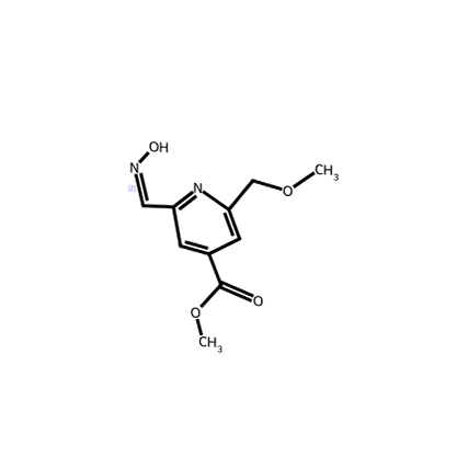 COCc1cc(C(=O)OC)cc(/C=N\O)n1